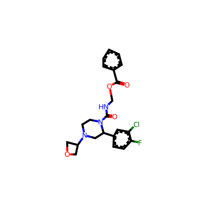 O=C(OCNC(=O)N1CCN(C2COC2)CC1c1ccc(F)c(Cl)c1)c1ccccc1